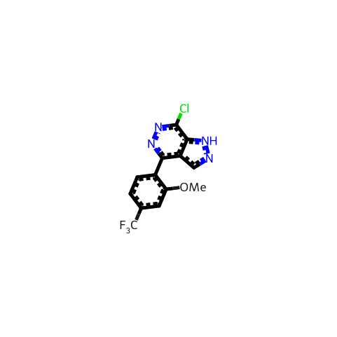 COc1cc(C(F)(F)F)ccc1-c1nnc(Cl)c2[nH]ncc12